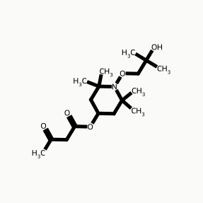 CC(=O)CC(=O)OC1CC(C)(C)N(OCC(C)(C)O)C(C)(C)C1